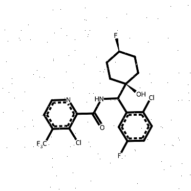 O=C(NC(c1cc(F)ccc1Cl)[C@]1(O)CC[C@@H](F)CC1)c1nccc(C(F)(F)F)c1Cl